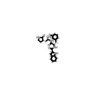 O=C[C@H](C[C@@H]1CCNC1=O)NC(=O)[C@H](Cc1cccc(F)c1)NC(=O)c1cc2ccccc2[nH]1